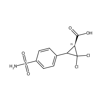 NS(=O)(=O)c1ccc(C2[C@@H](C(=O)O)C2(Cl)Cl)cc1